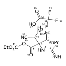 CCCC(CC)C(NC(C)=N)(C(=O)OC(=O)OCC)C(N)C#N.O=C(O)C(F)(F)F